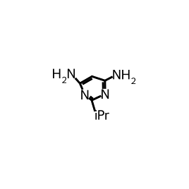 CC(C)c1nc(N)cc(N)n1